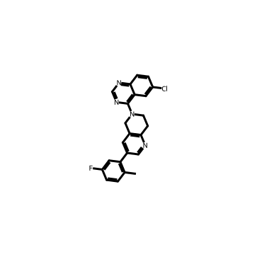 Cc1ccc(F)cc1-c1cnc2c(c1)CN(c1ncnc3ccc(Cl)cc13)CC2